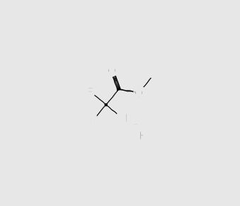 COC(=O)C(F)(F)Cl.[F-].[K+]